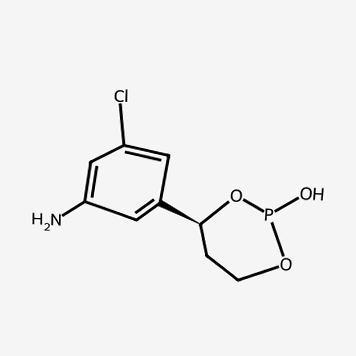 Nc1cc(Cl)cc([C@@H]2CCOP(O)O2)c1